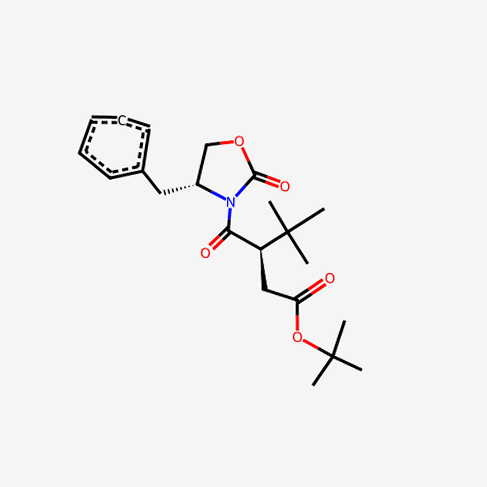 CC(C)(C)OC(=O)C[C@@H](C(=O)N1C(=O)OC[C@H]1Cc1ccccc1)C(C)(C)C